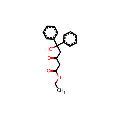 CCOC(=O)CC(=O)CC(O)(c1ccccc1)c1ccccc1